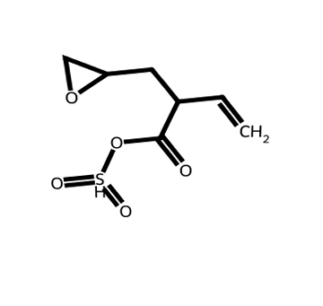 C=CC(CC1CO1)C(=O)O[SH](=O)=O